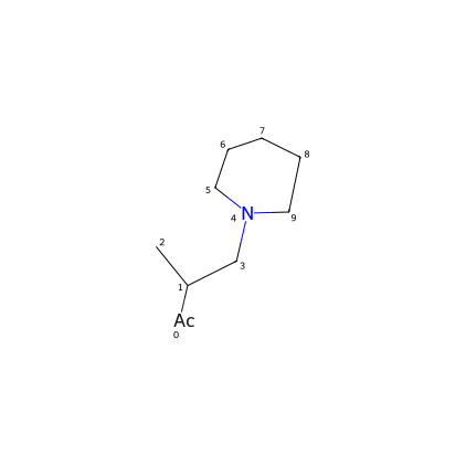 CC(=O)C(C)CN1CCCCC1